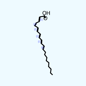 CCCCCCCCC/C=C/C=C/C=C/C=C/C=C\C=C\C(=O)O